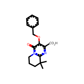 CC1(C)CCCn2c1nc(C(=O)O)c(OCc1ccccc1)c2=O